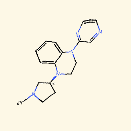 CC(C)N1CC[C@H](N2CCN(c3cnccn3)c3ccccc32)C1